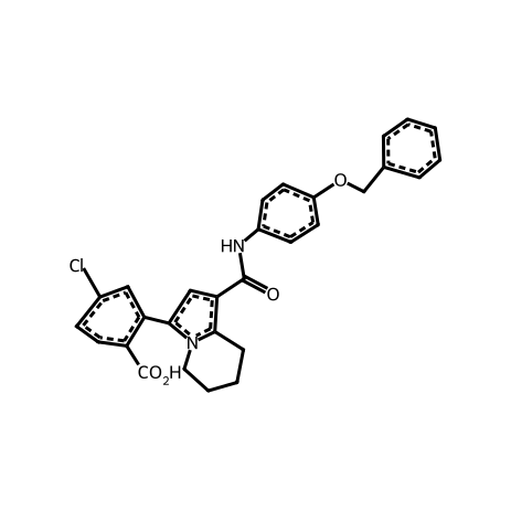 O=C(O)c1ccc(Cl)cc1-c1cc(C(=O)Nc2ccc(OCc3ccccc3)cc2)c2n1CCCC2